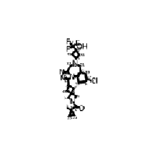 CC1(C(=O)N2CC3(CC(c4nnc5n4-c4ccc(Cl)cc4CN(C4CC(O)(C(F)(F)F)C4)C5)C3)C2)CC1